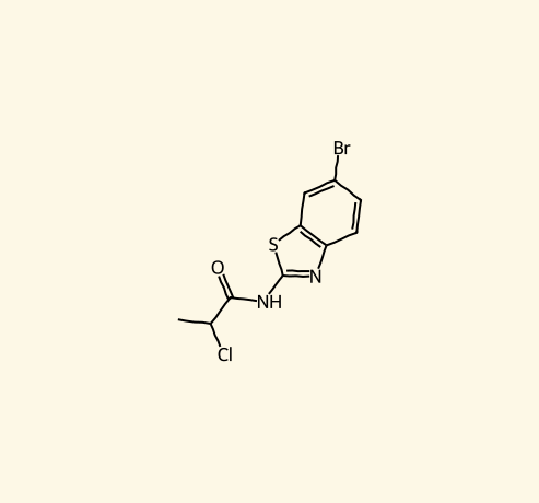 CC(Cl)C(=O)Nc1nc2ccc(Br)cc2s1